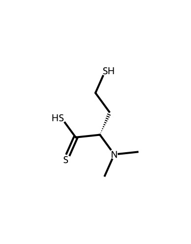 CN(C)[C@@H](CCS)C(=S)S